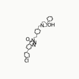 O=c1c2ccc(-c3ccc(Cl)cc3)cc2nnn1CCc1ccc(CN2CCC(O)(c3ccccc3)CC2)cc1